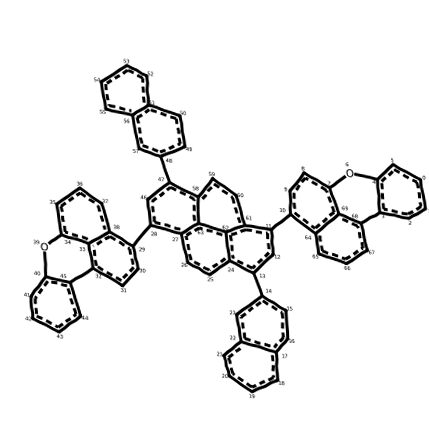 c1ccc2c(c1)Oc1ccc(-c3cc(-c4ccc5ccccc5c4)c4ccc5c(-c6ccc7c8c(cccc68)Oc6ccccc6-7)cc(-c6ccc7ccccc7c6)c6ccc3c4c65)c3cccc-2c13